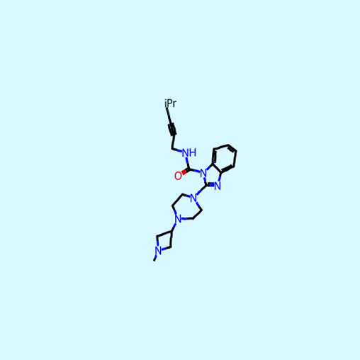 CC(C)C#CCNC(=O)n1c(N2CCN(C3CN(C)C3)CC2)nc2ccccc21